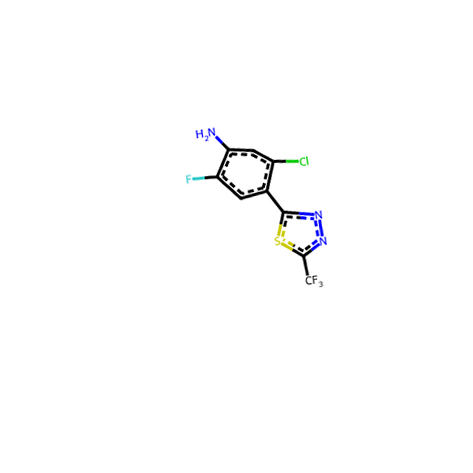 Nc1cc(Cl)c(-c2nnc(C(F)(F)F)s2)cc1F